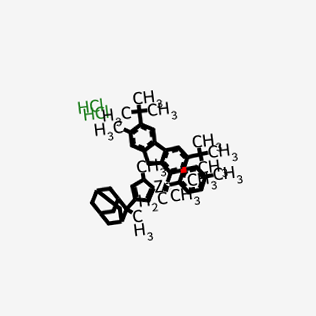 Cl.Cl.[CH2]=[Zr]([CH3])([C]1=CC(C2(C)C3CC4CC(C3)CC2C4)=CC1C)([c]1ccc(C)cc1)[c]1c(C)c(C(C)(C)C)cc2c1Cc1cc(C)c(C(C)(C)C)cc1-2